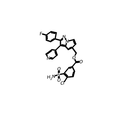 NS(=O)(=O)c1cc(C(=O)OCc2ccn3nc(-c4ccc(F)cc4)c(-c4ccncc4)c3c2)ccc1Cl